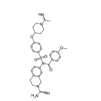 COc1ccc(C(=O)N(c2ccc3c(c2)CN(C(=N)N)CC3)S(=O)(=O)c2ccc(OC3CCN(C(C)=N)CC3)cc2)cc1